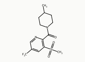 CC1CCN(C(=O)c2ncc(C(F)(F)F)cc2S(C)(=O)=O)CC1